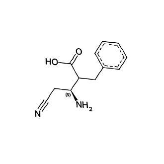 N#CC[C@H](N)C(Cc1ccccc1)C(=O)O